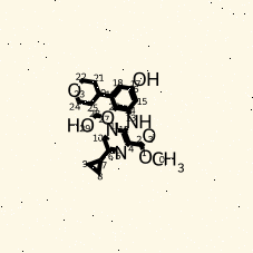 COC(=O)c1nc(C2CC2)cnc1Nc1cc(O)cc(C2CCOCC2)c1OCO